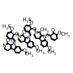 COC1=CC=C/C(=C\n2c3c(c4ccc(OC)cc42)C=CN(OC2C(OC)=CC=C/C2=C\n2c4c(c5ccc(OC)cc52)C=CN(OC2C(OC)=CC=C/C2=C\n2c5c(c6ccc(OC)cc62)CCN=C5C)C4C)C3C)C1=O